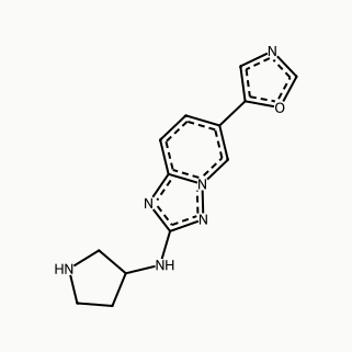 c1ncc(-c2ccc3nc(NC4CCNC4)nn3c2)o1